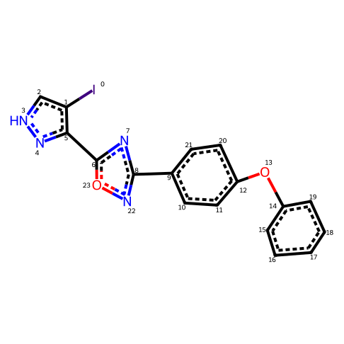 Ic1c[nH]nc1-c1nc(-c2ccc(Oc3ccccc3)cc2)no1